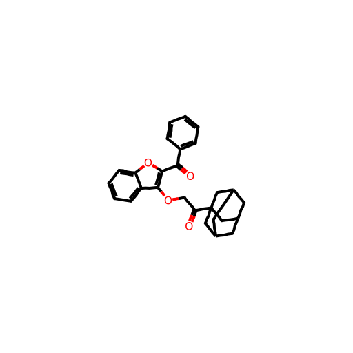 O=C(c1ccccc1)c1oc2ccccc2c1OCC(=O)C12CC3CC(CC(C3)C1)C2